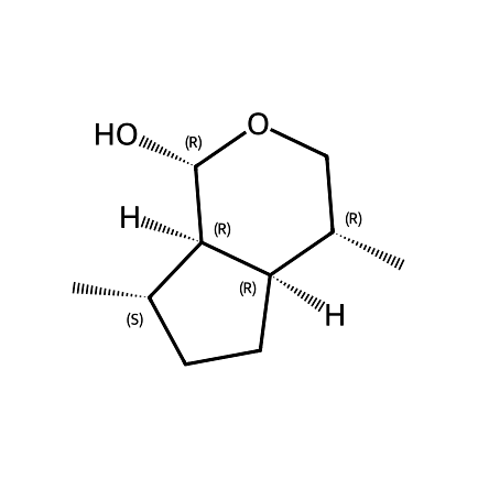 C[C@H]1CO[C@@H](O)[C@H]2[C@@H]1CC[C@@H]2C